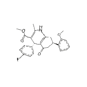 COC(=O)C1=C(C)NC2=C(C(=O)C[C@H](c3ccccc3OC)C2)[C@@H]1c1ccc(F)cc1